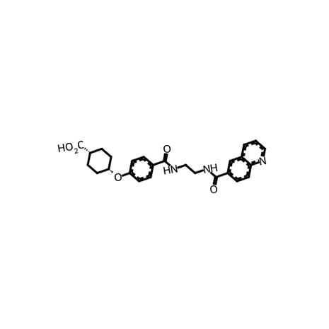 O=C(NCCNC(=O)c1ccc2ncccc2c1)c1ccc(O[C@H]2CC[C@@H](C(=O)O)CC2)cc1